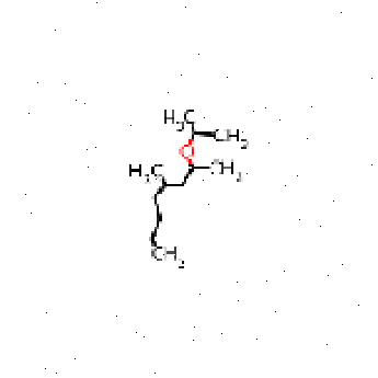 CCCCC(C)CC(C)OC(C)C